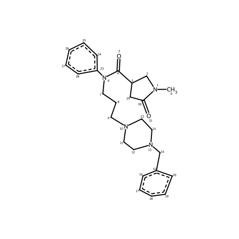 CN1CC(C(=O)N(CCCN2CCN(Cc3ccccc3)CC2)c2ccccc2)CC1=O